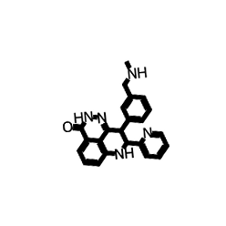 CNCc1cccc(C2c3n[nH]c(=O)c4cccc(c34)NC2c2ccccn2)c1